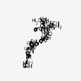 COC(=O)[C@H](CNC(=O)c1ccc2c(cnn2CCCNC2=NCCCN2)c1)NS(=O)(=O)c1ccc(-c2ccc(S(=O)(=O)NCCNC(=O)[C@H](CCC(=O)OC(C)(C)C)NC(=O)[C@H](CCC(=O)OC(C)(C)C)NC(=O)OCc3ccccc3)cc2)cc1